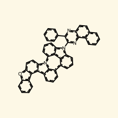 c1ccc(-c2nc3ccc4ccccc4c3nc2-n2c3cccc4c5cccc6c7c8c(ccc7n(c7cccc2c7c43)c56)oc2ccccc28)cc1